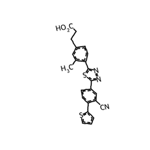 Cc1cc(CCC(=O)O)ccc1-c1nnc(-c2ccc(-c3cccs3)c(C#N)c2)s1